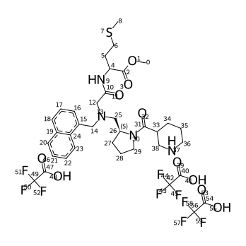 COC(=O)C(CCSC)NC(=O)CN(Cc1cccc2ccccc12)C[C@@H]1CCCN1C(=O)C1CCCNC1.O=C(O)C(F)(F)F.O=C(O)C(F)(F)F.O=C(O)C(F)(F)F